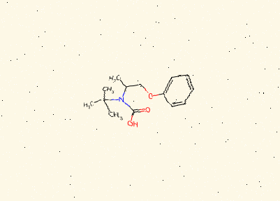 CC(COc1ccccc1)N(C(=O)O)C(C)(C)C